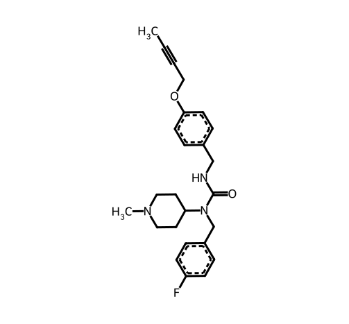 CC#CCOc1ccc(CNC(=O)N(Cc2ccc(F)cc2)C2CCN(C)CC2)cc1